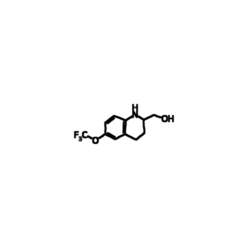 OCC1CCc2cc(OC(F)(F)F)ccc2N1